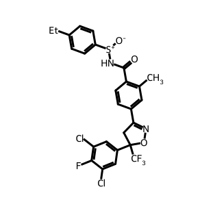 CCc1ccc([S+]([O-])NC(=O)c2ccc(C3=NOC(c4cc(Cl)c(F)c(Cl)c4)(C(F)(F)F)C3)cc2C)cc1